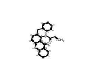 C=CC(=O)Nc1c(Cc2ccccc2)ccc2sc3ccccc3c(=O)c12